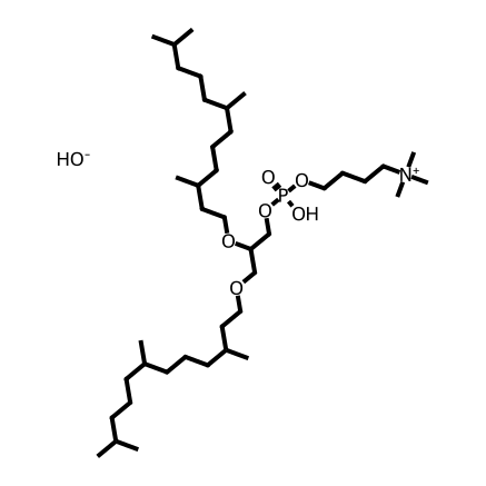 CC(C)CCCC(C)CCCC(C)CCOCC(COP(=O)(O)OCCCC[N+](C)(C)C)OCCC(C)CCCC(C)CCCC(C)C.[OH-]